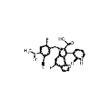 C[S+]([O-])c1cc(F)c(Cn2c(C(=O)O)c(-c3ccc[nH]c3=O)c3c4occc4c(F)cc32)cc1C#N